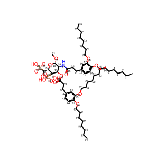 CCCCCCCCOc1ccc(CCC(=O)N[C@@H]2[C@@H](OC)O[C@H](C(O)S(=O)(=O)O)[C@](O)(S(=O)(=O)O)[C@@H]2OC(=O)CCc2ccc(OCCCCCCCC)c(OCCCCCCCC)c2)cc1OCCCCCCCC